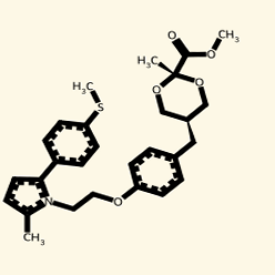 COC(=O)[C@]1(C)OC[C@@H](Cc2ccc(OCCn3c(C)ccc3-c3ccc(SC)cc3)cc2)CO1